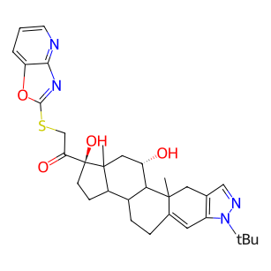 CC12Cc3cnn(C(C)(C)C)c3C=C1CCC1C2[C@@H](O)CC2(C)C1CC[C@]2(O)C(=O)CSc1nc2ncccc2o1